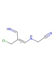 N#CCN/C=C(\C=N)CCl